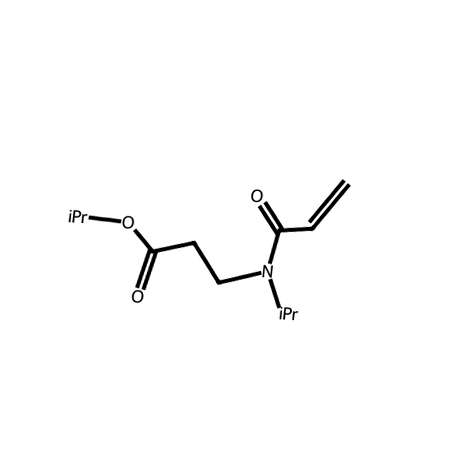 C=CC(=O)N(CCC(=O)OC(C)C)C(C)C